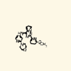 COc1cccc(-c2nc(Nc3ccnc(N4CCOCC4)c3)c3cccn3n2)n1